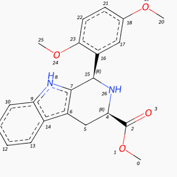 COC(=O)[C@H]1Cc2c([nH]c3ccccc23)[C@@H](c2cc(OC)ccc2OC)N1